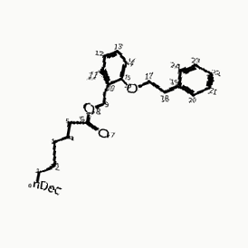 CCCCCCCCCCCCCCCC(=O)OCc1ccccc1OCCc1ccccc1